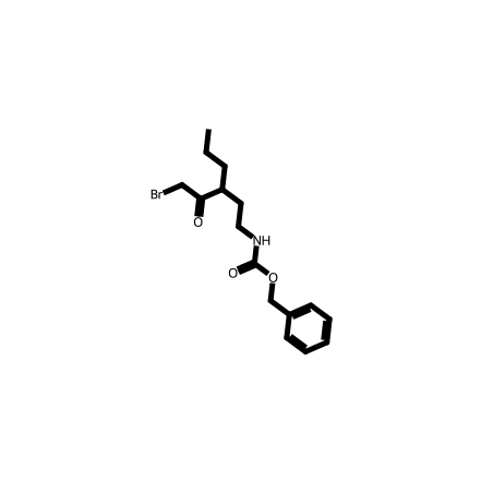 CCCC(CCNC(=O)OCc1ccccc1)C(=O)CBr